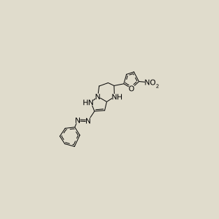 O=[N+]([O-])c1ccc(C2CCN3NC(N=Nc4ccccc4)=CC3N2)o1